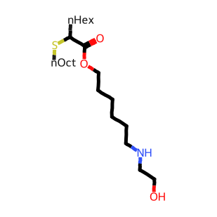 CCCCCCCCSC(CCCCCC)C(=O)OCCCCCCNCCO